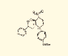 COc1ccc([C@H]2C=CN([SH](=O)=O)C(=O)[C@H]2CC(=O)c2ccccc2)cc1